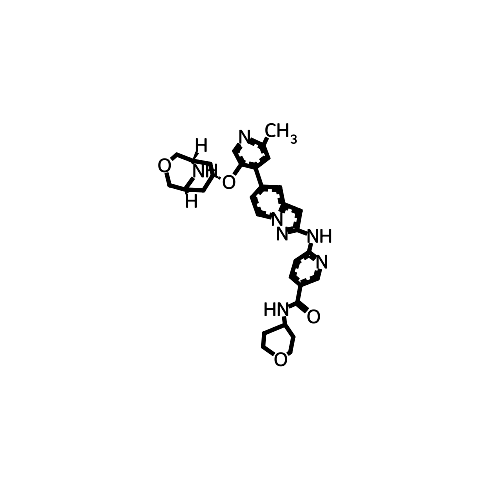 Cc1cc(-c2ccn3nc(Nc4ccc(C(=O)NC5CCOCC5)cn4)cc3c2)c(O[C@H]2C[C@H]3COC[C@@H](C2)N3)cn1